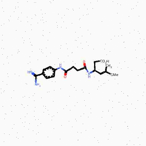 COC(C)CC(CC(=O)O)NC(=O)CCC(=O)Nc1ccc(C(=N)N)cc1